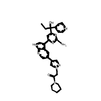 CCC(O)(c1ccncc1)c1cc(-c2c[nH]c3ncc(-c4cnn(CC(=O)N5CCCCC5)c4)cc23)nc(N)n1